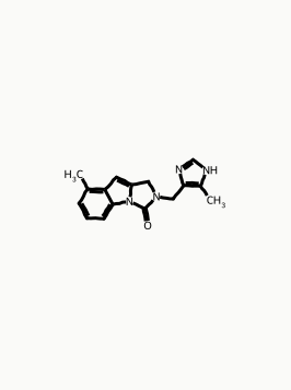 Cc1[nH]cnc1CN1Cc2cc3c(C)cccc3n2C1=O